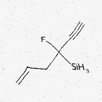 C#CC(F)([SiH3])CC=C